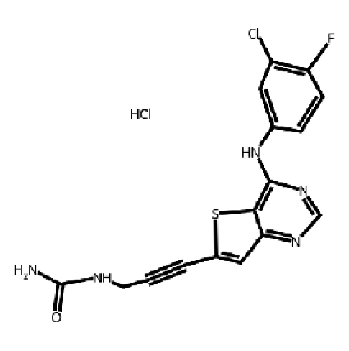 Cl.NC(=O)NCC#Cc1cc2ncnc(Nc3ccc(F)c(Cl)c3)c2s1